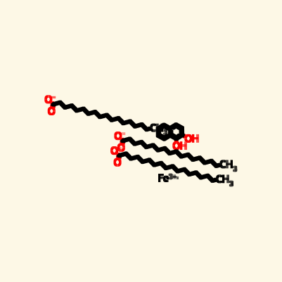 CCCCCCCCCCCCCCCCCC(=O)[O-].CCCCCCCCCCCCCCCCCC(=O)[O-].CCCCCCCCCCCCCCCCCC(=O)[O-].Oc1ccc2ccccc2c1O.[Fe+3]